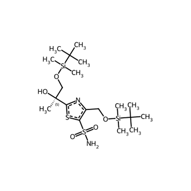 CC(C)(C)[Si](C)(C)OCc1nc([C@@](C)(O)CO[Si](C)(C)C(C)(C)C)sc1S(N)(=O)=O